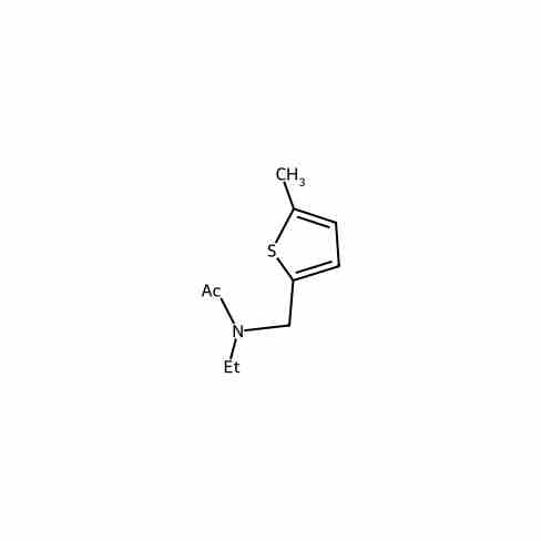 CCN(Cc1ccc(C)s1)C(C)=O